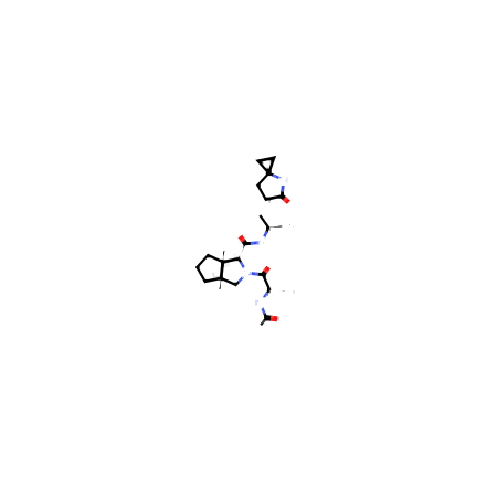 CC(C)(C)[C@H](NC(=O)C(F)(F)F)C(=O)N1C[C@@H]2CCC[C@@H]2[C@H]1C(=O)N[C@H](C#N)C[C@@H]1CC2(CC2)NC1=O